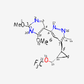 COc1ncc(-c2cc([C@H]3C[C@@H]3COC(F)(F)F)c(C)nn2)c(OC)n1